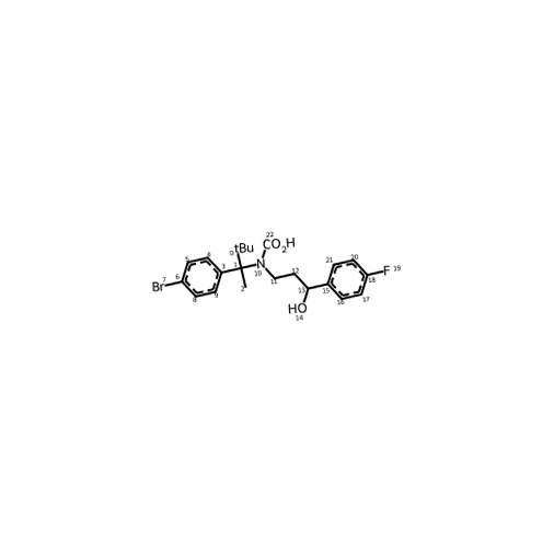 CC(C)(C)C(C)(c1ccc(Br)cc1)N(CCC(O)c1ccc(F)cc1)C(=O)O